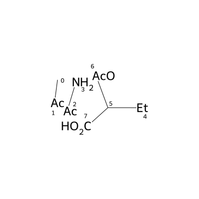 CC(C)=O.CC(N)=O.CCC(OC(C)=O)C(=O)O